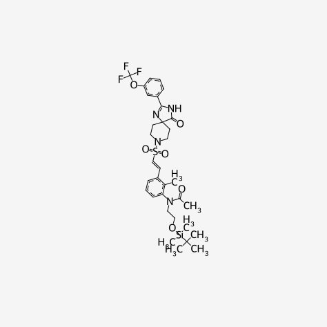 CC(=O)N(CCO[Si](C)(C)C(C)(C)C)c1cccc(/C=C/S(=O)(=O)N2CCC3(CC2)N=C(c2cccc(OC(F)(F)F)c2)NC3=O)c1C